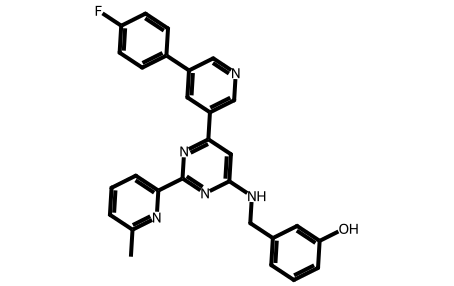 Cc1cccc(-c2nc(NCc3cccc(O)c3)cc(-c3cncc(-c4ccc(F)cc4)c3)n2)n1